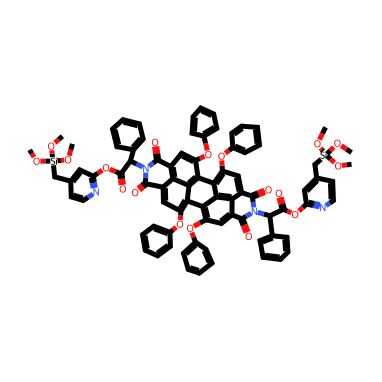 CO[Si](Cc1ccnc(OC(=O)C(c2ccccc2)N2C(=O)c3cc(Oc4ccccc4)c4c5c(Oc6ccccc6)cc6c7c(cc(Oc8ccccc8)c(c8c(Oc9ccccc9)cc(c3c48)C2=O)c75)C(=O)N(C(C(=O)Oc2cc(C[Si](OC)(OC)OC)ccn2)c2ccccc2)C6=O)c1)(OC)OC